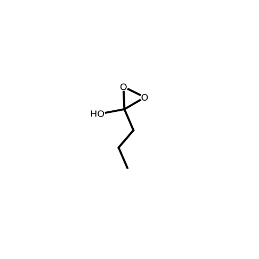 CCCC1(O)OO1